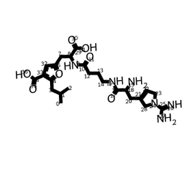 CC(C)Cc1oc(CC(NC(=O)CCCNC(=O)C(N)CC2=CCN(C(=N)N)C2)C(=O)O)cc1C(=O)O